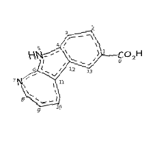 O=C(O)c1ccc2[nH]c3ncccc3c2c1